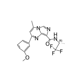 COc1cccc(-c2cc(C)n3cnc(C(=O)N[C@H](C)C(F)(F)F)c3n2)c1